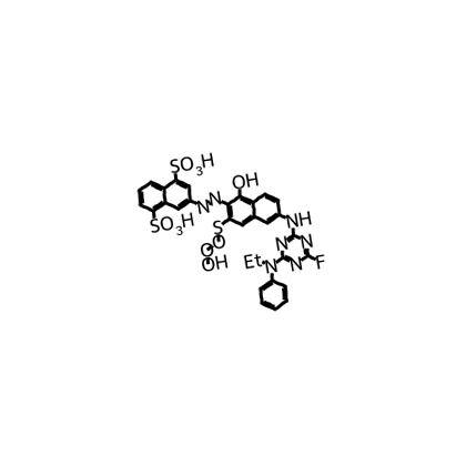 CCN(c1ccccc1)c1nc(F)nc(Nc2ccc3c(O)c(N=Nc4cc(S(=O)(=O)O)c5cccc(S(=O)(=O)O)c5c4)c(SOOO)cc3c2)n1